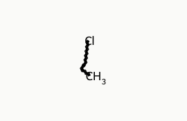 CCCC/C=C\C#CCCCCCCCCCCCl